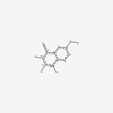 CCc1ccc2c(c1)c(=O)c(C)c(C)n2C